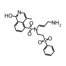 Cc1cnc(O)c2cccc(S(=O)(=O)N(C=CCN)CCS(=O)(=O)c3ccccc3)c12